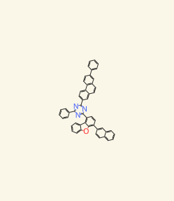 c1ccc(-c2ccc3c(ccc4cc(-c5nc(-c6ccccc6)nc(-c6ccc(-c7ccc8ccccc8c7)c7oc8ccccc8c67)n5)ccc43)c2)cc1